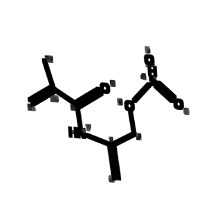 C=C(CO[SH](=O)=O)NC(=O)C(=C)C